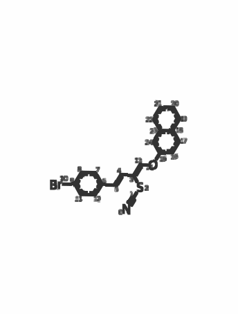 N#CSC(C=Cc1ccc(Br)cc1)=COc1ccc2ccccc2c1